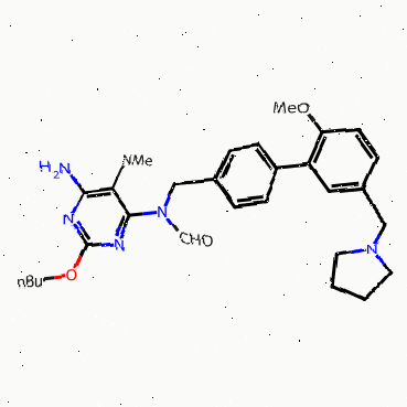 CCCCOc1nc(N)c(NC)c(N(C=O)Cc2ccc(-c3cc(CN4CCCC4)ccc3OC)cc2)n1